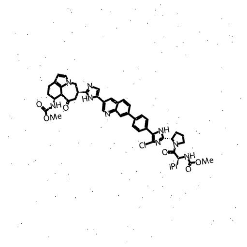 COC(=O)N[C@H]1CCc2ccn3c2C1C(=O)C[C@H](c1ncc(-c2cnc4cc(-c5ccc(-c6[nH]c([C@@H]7CCCN7C(=O)[C@@H](NC(=O)OC)C(C)C)nc6Cl)cc5)ccc4c2)[nH]1)C3